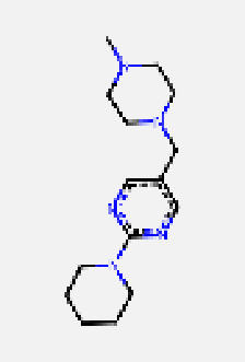 CN1CCN(Cc2cnc(N3CCCCC3)nc2)CC1